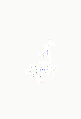 Cc1nn(CC2CC2)cc1Cc1cc(C(F)F)nn1-c1ccc(F)cc1CO